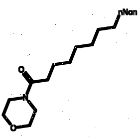 CCCCCCCCCCCCCCCCC(=O)N1CCOCC1